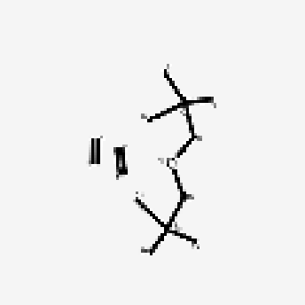 C=C.C=C.CC(C)(C)COCC(C)(C)C